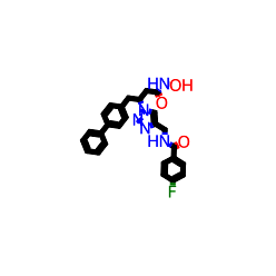 O=C(CC(Cc1ccc(-c2ccccc2)cc1)n1cc(CNC(=O)c2ccc(F)cc2)nn1)NO